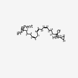 CCCCCN(CCC/C=C\C/C=C\C/C=C\CCCC(=O)NC1CC1)C(C)C